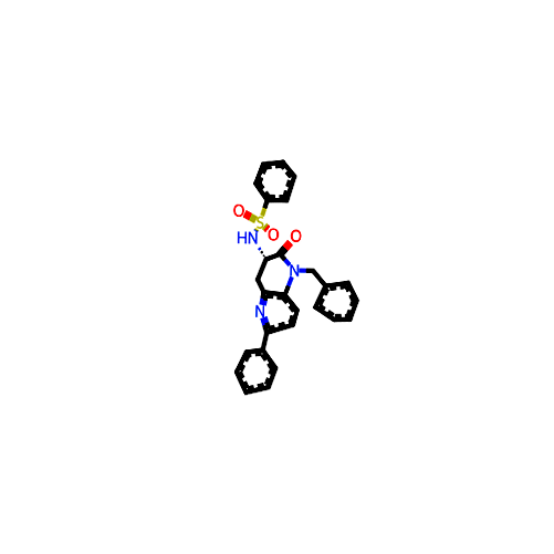 O=C1[C@@H](NS(=O)(=O)c2ccccc2)Cc2nc(-c3ccccc3)ccc2N1Cc1ccccc1